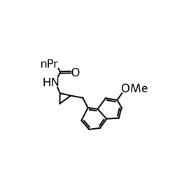 CCCC(=O)NC1CC1Cc1cccc2ccc(OC)cc12